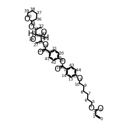 C=CC(=O)OCCCCCCOc1ccc(C(=O)Oc2ccc(C(=O)O[C@H]3CO[C@H]4[C@@H]3OC[C@H]4OC3CCCCO3)cc2)cc1